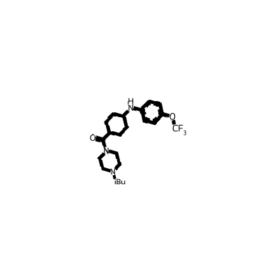 CCC(C)N1CCN(C(=O)C2CCC(Nc3ccc(OC(F)(F)F)cc3)CC2)CC1